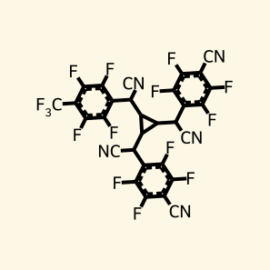 N#Cc1c(F)c(F)c(C(C#N)C2C(C(C#N)c3c(F)c(F)c(C#N)c(F)c3F)C2C(C#N)c2c(F)c(F)c(C(F)(F)F)c(F)c2F)c(F)c1F